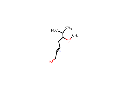 COC(C/C=C/CO)C(C)C